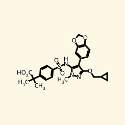 Cn1nc(OCC2CC2)c(-c2ccc3c(c2)OCO3)c1NS(=O)(=O)c1ccc(C(C)(C)C(=O)O)cc1